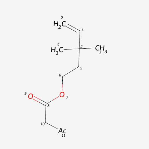 C=CC(C)(C)CCOC(=O)CC(C)=O